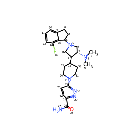 CN(C)[C@H]1CN(C2CCc3cccc(F)c32)C[C@@H]1C1CCN(c2ccc(C(N)=O)nn2)CC1